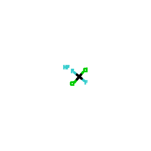 F.FC(F)(Cl)Cl